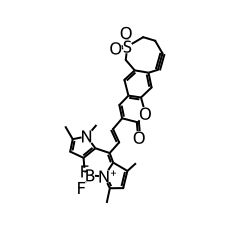 CC1=CC(C)=[N+](B(F)F)/C1=C(/C=C/c1cc2cc3c(cc2oc1=O)C#CCCS(=O)(=O)C3)c1c(C)cc(C)n1C